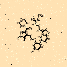 Cc1c(CCOc2cc(F)ccc2-c2ccc3ncc(CCNC(=O)OC(C)(C)C)n3c2)c(C(=O)N2CCOCC2)nn1C